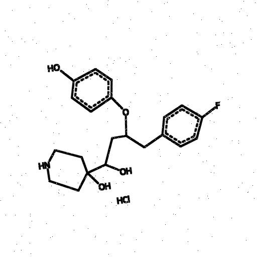 Cl.Oc1ccc(OC(Cc2ccc(F)cc2)CC(O)C2(O)CCNCC2)cc1